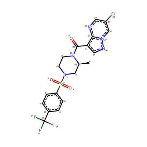 C[C@H]1CN(S(=O)(=O)c2ccc(C(F)(F)F)cc2)CCN1C(=O)c1cnn2cc(Cl)cnc12